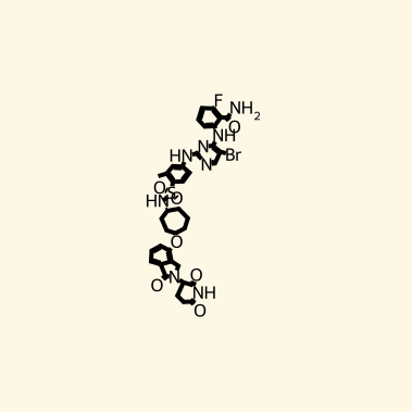 Cc1cc(Nc2ncc(Br)c(Nc3cccc(F)c3C(N)=O)n2)ccc1S(=O)(=O)N[C@@H]1CCCC(Oc2cccc3c2CN(C2CCC(=O)NC2=O)C3=O)CC1